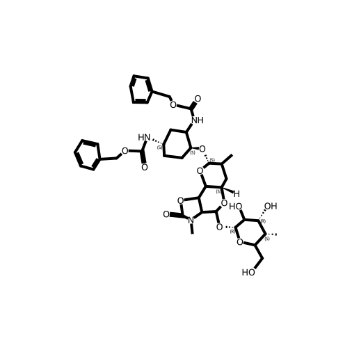 CC1C[C@@H]2OC(O[C@H]3OC(CO)[C@@H](C)[C@@H](O)C3O)C3C(OC(=O)N3C)C2O[C@@H]1O[C@H]1CC[C@H](NC(=O)OCc2ccccc2)CC1NC(=O)OCc1ccccc1